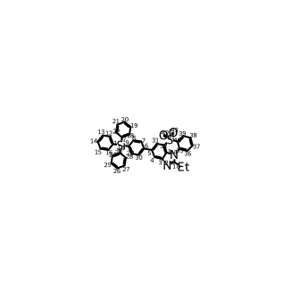 CCc1nc2cc(-c3ccc([Si](c4ccccc4)(c4ccccc4)c4ccccc4)cc3)cc3c2n1-c1ccccc1S3(=O)=O